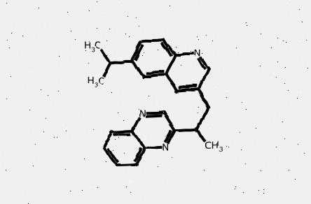 CC(C)c1ccc2ncc(CC(C)c3cnc4ccccc4n3)cc2c1